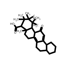 CC12CCC3=C4CCC5CCCCC5C4=CC(=O)C3C1C(C)(C)C(C)(C)C(C)(C)C2C(=O)O